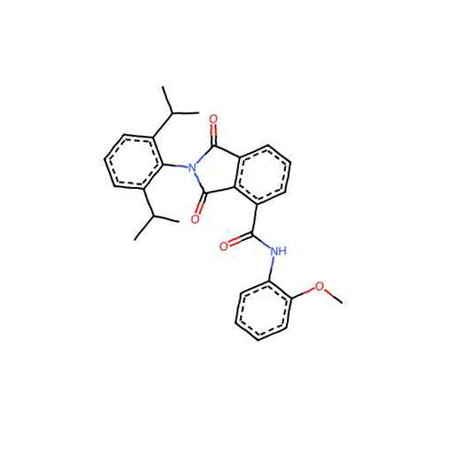 COc1ccccc1NC(=O)c1cccc2c1C(=O)N(c1c(C(C)C)cccc1C(C)C)C2=O